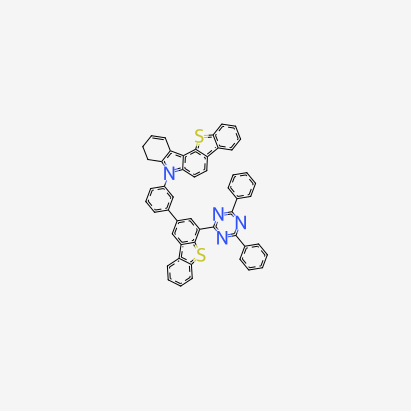 C1=Cc2c(n(-c3cccc(-c4cc(-c5nc(-c6ccccc6)nc(-c6ccccc6)n5)c5sc6ccccc6c5c4)c3)c3ccc4c5ccccc5sc4c23)CC1